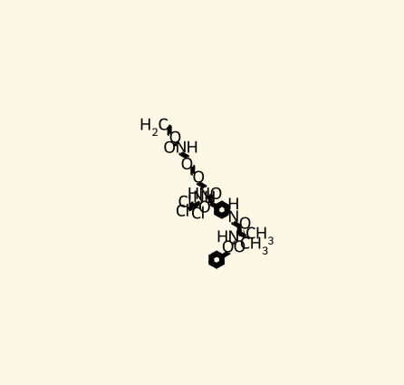 C=CCOC(=O)NCCOCCOCCNC(=O)C(OC(=N)C(Cl)(Cl)Cl)c1ccc(NCC(=O)[C@@H](NC(=O)OCc2ccccc2)C(C)C)cc1